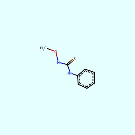 CO[N]C(=S)Nc1ccccc1